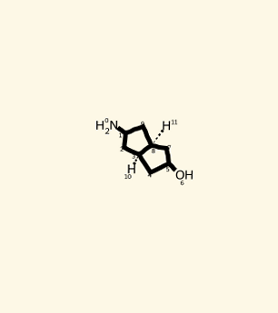 NC1C[C@@H]2CC(O)C[C@@H]2C1